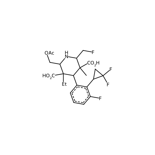 CCC1(C(=O)O)C(COC(C)=O)NC(CF)C(C)(C(=O)O)C1c1cccc(F)c1C1CC1(F)F